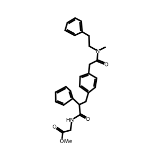 COC(=O)CNC(=O)C(Cc1ccc(CC(=O)N(C)CCc2ccccc2)cc1)c1ccccc1